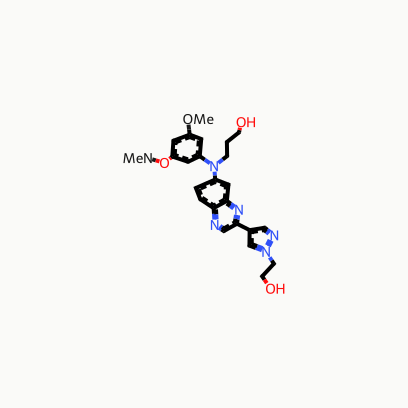 CNOc1cc(OC)cc(N(CCCO)c2ccc3ncc(-c4cnn(CCO)c4)nc3c2)c1